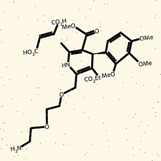 CCOC(=O)C1=C(COCCOCCN)NC(C)=C(C(=O)OC)[C@H]1c1ccc(OC)c(OC)c1OC.O=C(O)C=CC(=O)O